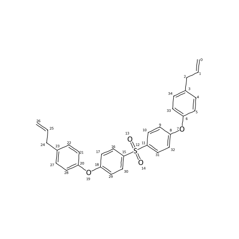 C=CCc1ccc(Oc2ccc(S(=O)(=O)c3ccc(Oc4ccc(CC=C)cc4)cc3)cc2)cc1